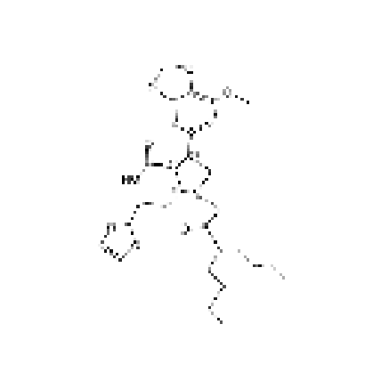 CCCCN(CCCC)C(=O)CN1C[C@H](c2cc(OC)c3c(c2)OCO3)[C@H](C(=O)O)[C@H]1CCC1OC=CO1